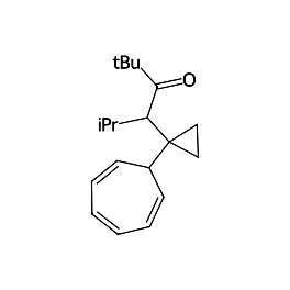 CC(C)C(C(=O)C(C)(C)C)C1(C2C=CC=CC=C2)CC1